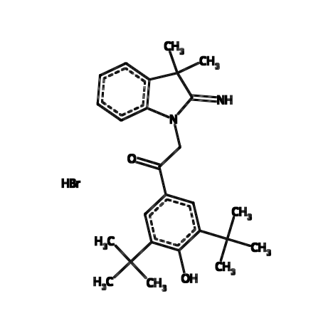 Br.CC(C)(C)c1cc(C(=O)CN2C(=N)C(C)(C)c3ccccc32)cc(C(C)(C)C)c1O